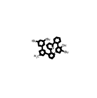 Cc1cc(-c2cc(C(C)(C)C)cc(C(C)(C)C)c2)cc(-c2ccccc2-c2cccc(-c3ccccc3-c3cc(C)cc(C(C)(C)C)c3O)n2)c1